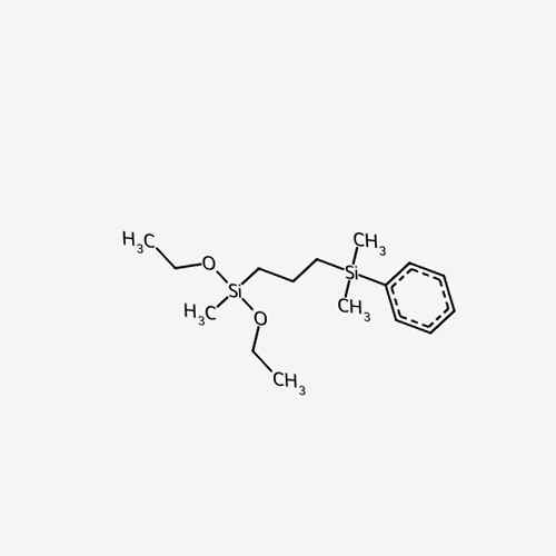 CCO[Si](C)(CCC[Si](C)(C)c1ccccc1)OCC